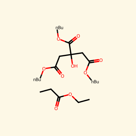 CCCCOC(=O)CC(O)(CC(=O)OCCCC)C(=O)OCCCC.CCOC(=O)CC